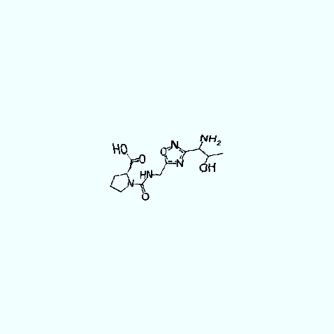 CC(O)C(N)c1noc(CNC(=O)N2CCC[C@H]2C(=O)O)n1